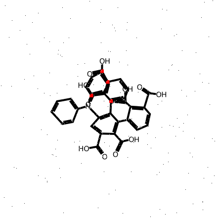 O=C(O)c1cccc(-c2c(N(c3ccccc3)c3ccccc3)cc(C(=O)O)c(C(=O)O)c2-c2cccc(C(=O)O)c2C(=O)O)c1C(=O)O